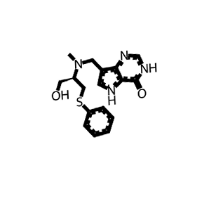 CN(Cc1c[nH]c2c(=O)[nH]cnc12)[C@H](CO)CSc1ccccc1